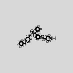 O=C(OCC1CCN(Cc2ccccc2)CC1)C(c1ccccc1)c1cccc(OCC2CCNCC2)c1